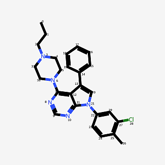 CCCN1CCN(c2ncnc3c2c(-c2ccccc2)cn3-c2ccc(C)c(Cl)c2)CC1